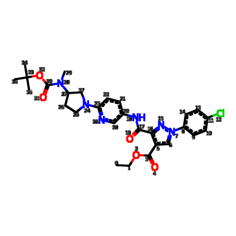 CCOC(=O)c1cn(-c2ccc(Cl)cc2)nc1C(=O)Nc1ccc(N2CCC(N(C)C(=O)OC(C)(C)C)C2)nc1